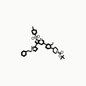 Cc1ccc(S(=O)(=O)n2cc(-c3ccn(CCc4ccccc4)n3)c3cc(-c4ccc(C5CCN(C(=O)OC(C)(C)C)CC5)c(F)c4)cnc32)cc1